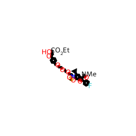 CCOC(=O)C(O)=CC(=O)c1ccc(COCCOCCOCCN(c2cc3oc(-c4ccc(F)cc4)c(C(=O)NC)c3cc2C2CC2)S(C)(=O)=O)cc1